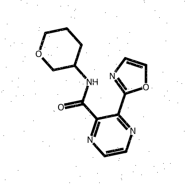 O=C(NC1CCCOC1)c1nccnc1-c1ncco1